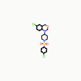 O=S(=O)(c1ccc(Cl)cc1)N1CCC(N2COCc3cc(Cl)ccc32)CC1